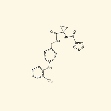 O=C(NC1(C(=O)NCc2ccc(Nc3ccccc3C(F)(F)F)cc2)CC1)c1ccno1